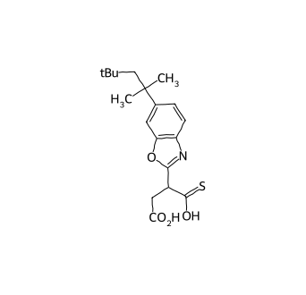 CC(C)(C)CC(C)(C)c1ccc2nc(C(CC(=O)O)C(O)=S)oc2c1